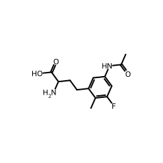 CC(=O)Nc1cc(F)c(C)c(CCC(N)C(=O)O)c1